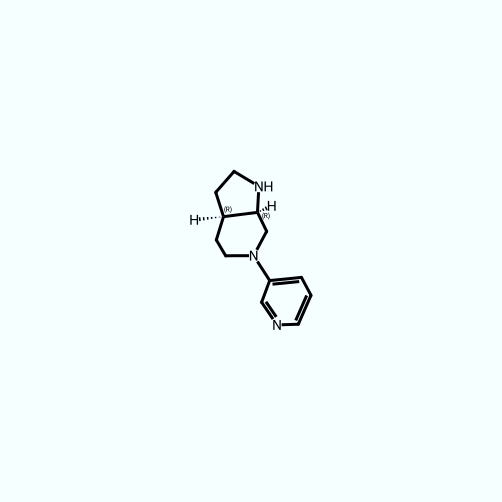 c1cncc(N2CC[C@H]3CCN[C@H]3C2)c1